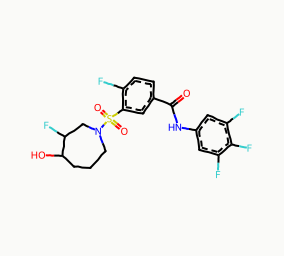 O=C(Nc1cc(F)c(F)c(F)c1)c1ccc(F)c(S(=O)(=O)N2CCCC(O)C(F)C2)c1